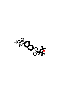 CC(C)(C)CC(C)(C(=O)Oc1ccc2cc(S(=O)(=O)O)ccc2c1)C(C)(C)C